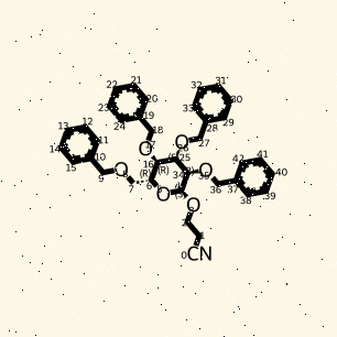 N#CCCO[C@H]1O[C@H](COCc2ccccc2)[C@@H](OCc2ccccc2)[C@H](OCc2ccccc2)[C@H]1OCc1ccccc1